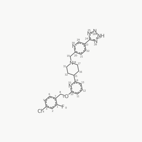 Fc1cc(Cl)ccc1COc1cccc(C2CCN(Cc3ccc(-c4nn[nH]n4)cn3)CC2)n1